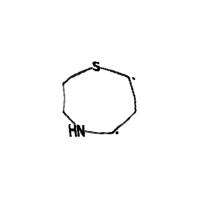 [CH]1C[CH]SCCN1